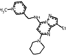 CCc1cnn2c(NCc3ccc[n+](C)c3)cc(N3CCCCC3)nc12